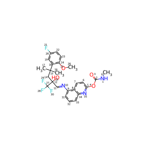 CNC(=O)Oc1ccc2c(N=CC(O)(CC(C)(C)c3cc(F)ccc3OC)C(F)(F)F)cccc2n1